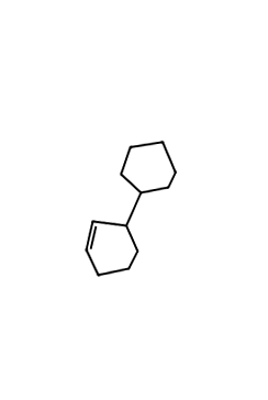 C1=CC(C2CCCCC2)CCC1